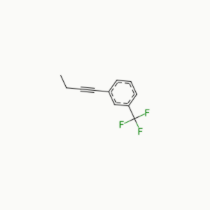 CCC#Cc1cccc(C(F)(F)F)c1